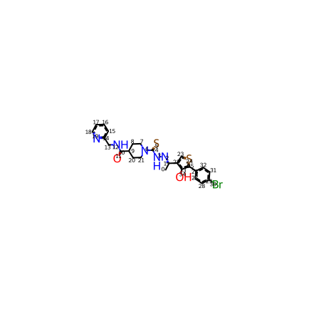 C/C(=N\NC(=S)N1CCC(C(=O)NCc2ccccn2)CC1)c1csc(-c2ccc(Br)cc2)c1O